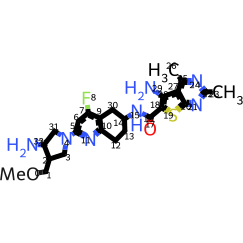 COCC1CN(c2cc(F)c3c(n2)CCC(NC(=O)c2sc4nc(C)nc(C)c4c2N)C3)CC1N